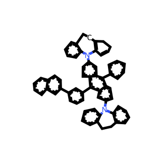 C1=CC2=C(CC1)CCc1ccccc1N2c1ccc2c(-c3cccc(-c4ccc5ccccc5c4)c3)c3cc(N4c5ccccc5CCc5ccccc54)ccc3c(-c3ccccc3)c2c1